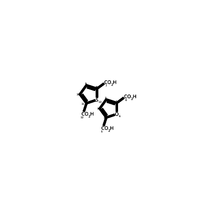 O=C(O)c1ccc(C(=O)O)o1.O=C(O)c1ccc(C(=O)O)s1